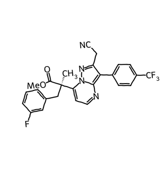 COC(=O)[C@](C)(Cc1cccc(F)c1)c1ccnc2c(-c3ccc(C(F)(F)F)cc3)c(CC#N)nn12